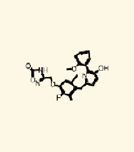 COc1ccccc1-c1nc(Cc2c(C)cc(OCc3noc(=O)[nH]3)c(F)c2C)ccc1O